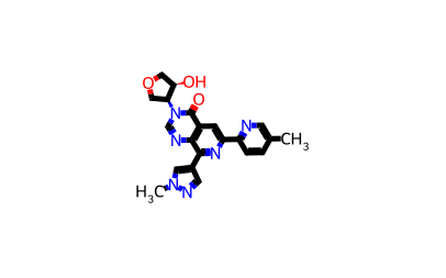 Cc1ccc(-c2cc3c(=O)n([C@H]4COC[C@@H]4O)cnc3c(-c3cnn(C)c3)n2)nc1